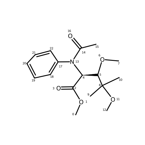 COC(=O)[C@H](C(OC)C(C)(C)OC)N(C(C)=O)c1ccccc1